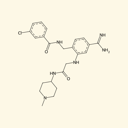 CN1CCC(NC(=O)CNc2cc(C(=N)N)ccc2CNC(=O)c2cccc(Cl)c2)CC1